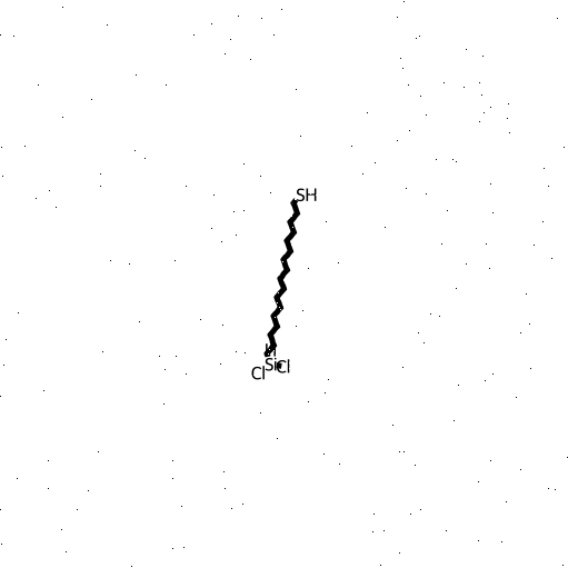 SCCCCCCCCCCCCCCCCC[SiH](Cl)Cl